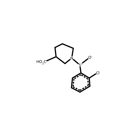 O=C(O)C1CCCN([S+]([O-])c2ccccc2Cl)C1